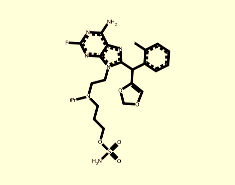 CC(C)N(CCCOS(N)(=O)=O)CCn1c(C(C2=COCO2)c2ccccc2I)nc2c(N)nc(F)nc21